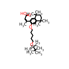 C/C(=C/C(=O)O)c1cc2c(cc1OCCCCCO[Si](C)(C)C(C)(C)C)C(C)(C)CCC2(C)C